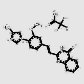 COc1cc(/C=C/c2nc3ccccc3c(=O)[nH]2)ccc1-n1cnc(C)c1.O=C(O)C(F)(F)F